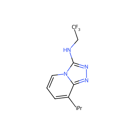 CC(C)c1cccn2c(NCC(F)(F)F)nnc12